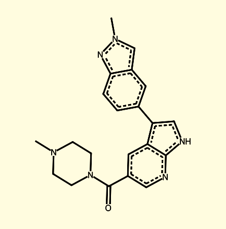 CN1CCN(C(=O)c2cnc3[nH]cc(-c4ccc5nn(C)cc5c4)c3c2)CC1